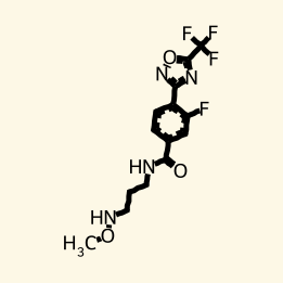 CONCCCNC(=O)c1ccc(-c2noc(C(F)(F)F)n2)c(F)c1